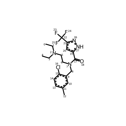 CCN(CC)CCN(Cc1cc(C)ccc1Cl)C(=O)c1cc(C(F)(F)F)n[nH]1